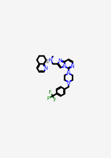 CN(Cc1cn2c(N3CCN(Cc4ccc(C(F)(F)F)cc4)CC3)nccc2n1)[C@H]1CCCc2cccnc21